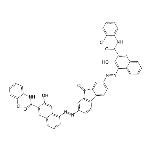 O=C(Nc1ccccc1Cl)c1cc2cccc(N=Nc3ccc4c(c3)C(=O)c3cc(N=Nc5c(O)c(C(=O)Nc6ccccc6Cl)cc6ccccc56)ccc3-4)c2cc1O